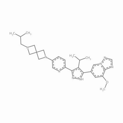 COc1cc(-c2[nH]nc(-c3ccc(N4CC5(CN(CC(C)C)C5)C4)cn3)c2C(C)C)cn2ncnc12